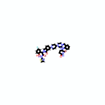 O=C1CCC(Nc2ccccc2CN2CCN(C3CCN(c4ccc5c(c4)C(=O)N(C(C(=O)Nc4nccs4)c4cc(F)ccc4O)C5)CC3)CC2)C(=O)N1